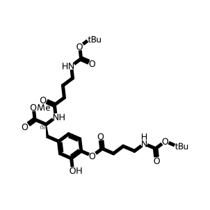 COC(=O)[C@H](Cc1ccc(OC(=O)CCCNC(=O)OC(C)(C)C)c(O)c1)NC(=O)CCCNC(=O)OC(C)(C)C